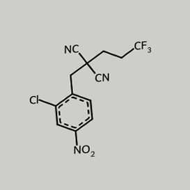 N#CC(C#N)(CCC(F)(F)F)Cc1ccc([N+](=O)[O-])cc1Cl